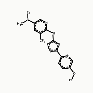 CCN(C)c1cnc(Nc2nc(-c3ccc(OC(C)C)cn3)ns2)c(C(F)(F)F)c1